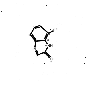 O=c1cnc2cccc(F)c2[nH]1